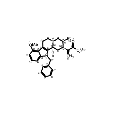 C=C(C(=O)OC)[C@H]1C[C@H]2c3c(c4c(OC)cccc4n3Cc3ccccc3)CCN2C[C@H]1CC